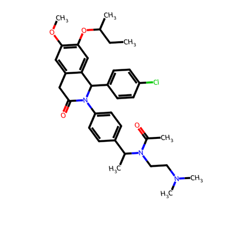 CCC(C)Oc1cc2c(cc1OC)CC(=O)N(c1ccc(C(C)N(CCN(C)C)C(C)=O)cc1)C2c1ccc(Cl)cc1